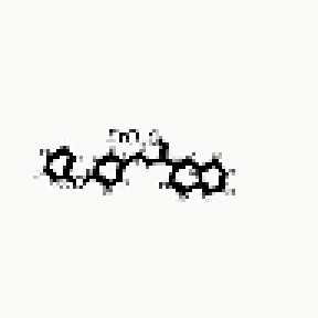 CCOC(=O)C=C(CCc1ccc(Oc2ccccc2)cc1)c1ccc2ccccc2c1